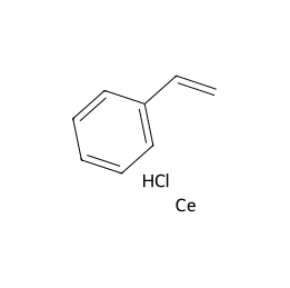 C=Cc1ccccc1.Cl.[Ce]